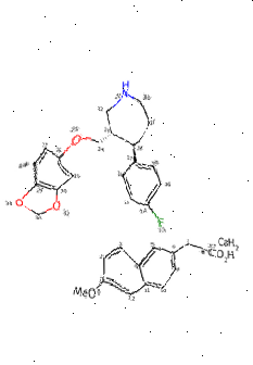 COc1ccc2cc(CC(=O)O)ccc2c1.Fc1ccc([C@@H]2CCNC[C@H]2COc2ccc3c(c2)OCO3)cc1.[CaH2]